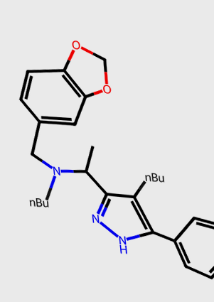 CCCCc1c(C(C)N(CCCC)Cc2ccc3c(c2)OCO3)n[nH]c1-c1ccccc1